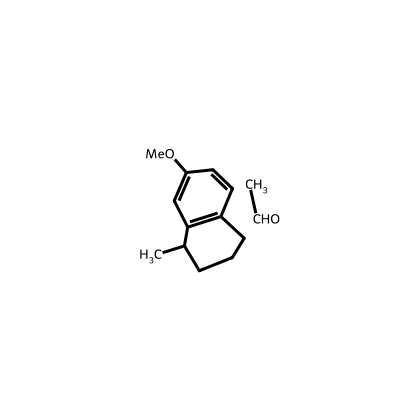 CC=O.COc1ccc2c(c1)C(C)CCC2